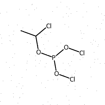 CC(Cl)OP(OCl)OCl